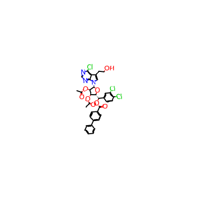 CC(=O)O[C@@H]1[C@H](OC(C)=O)[C@@H](C(OC(=O)c2ccc(-c3ccccc3)cc2)c2ccc(Cl)c(Cl)c2)O[C@H]1n1cc(CCO)c2c(Cl)ncnc21